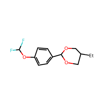 CCC1COC(c2ccc(OC(F)F)cc2)OC1